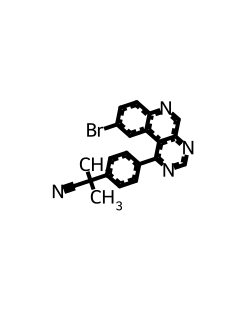 CC(C)(C#N)c1ccc(-c2ncnc3cnc4ccc(Br)cc4c23)cc1